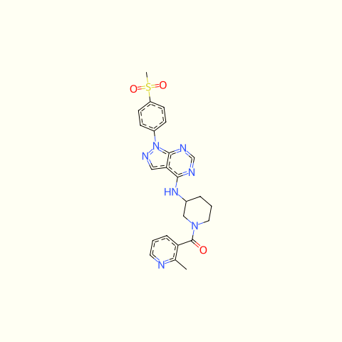 Cc1ncccc1C(=O)N1CCCC(Nc2ncnc3c2cnn3-c2ccc(S(C)(=O)=O)cc2)C1